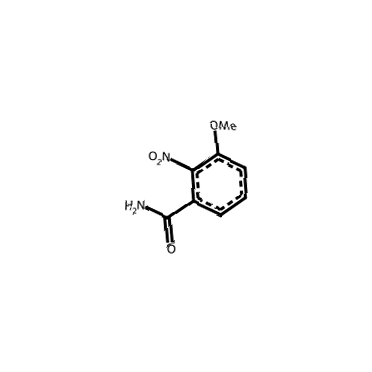 COc1cccc(C(N)=O)c1[N+](=O)[O-]